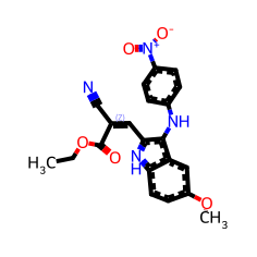 CCOC(=O)/C(C#N)=C\c1[nH]c2ccc(OC)cc2c1Nc1ccc([N+](=O)[O-])cc1